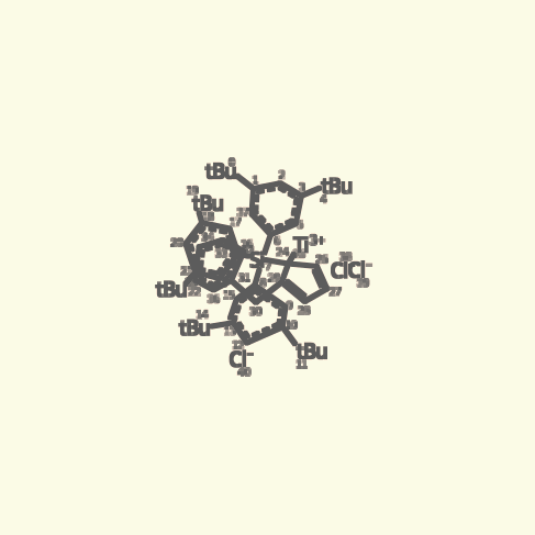 CC(C)(C)c1cc(C(C)(C)C)cc([Si](c2cc(C(C)(C)C)cc(C(C)(C)C)c2)(c2cc(C(C)(C)C)cc(C(C)(C)C)c2)[C]2([Ti+3])C=CC=C2Cc2ccccc2)c1.[Cl-].[Cl-].[Cl-]